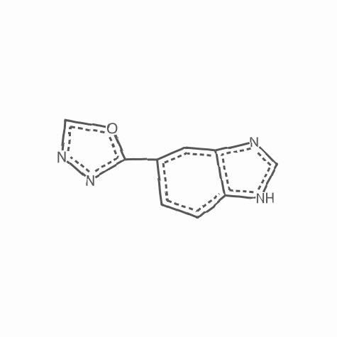 c1nc2cc(-c3nnco3)ccc2[nH]1